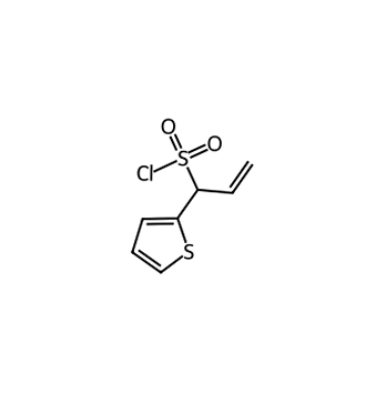 C=CC(c1cccs1)S(=O)(=O)Cl